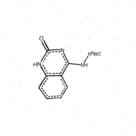 CCCCCNc1nc(=O)[nH]c2ccccc12